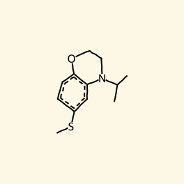 CSc1ccc2c(c1)N(C(C)C)CCO2